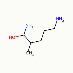 CC(CCCN)C(N)O